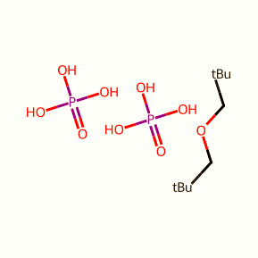 CC(C)(C)COCC(C)(C)C.O=P(O)(O)O.O=P(O)(O)O